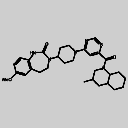 COc1ccc2c(c1)CCN(C1CCN(c3cc(C(=O)N4CC(C)CC5CCCCC54)ncn3)CC1)C(=O)N2